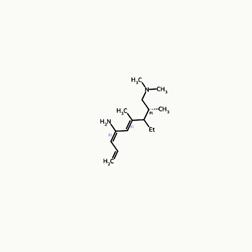 C=C/C=C(N)\C=C(/C)C(CC)[C@@H](C)CN(C)C